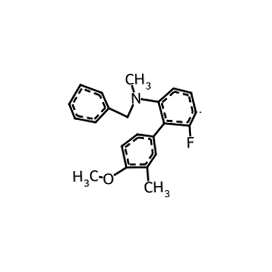 COc1ccc(-c2c(F)[c]ccc2N(C)Cc2ccccc2)cc1C